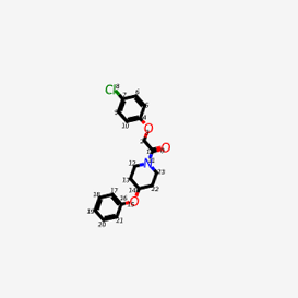 O=C(COc1ccc(Cl)cc1)N1CCC(Oc2ccccc2)CC1